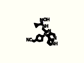 N#CCC1CCC(n2c(CN/C(=N\O)C3CC3)nc3cnc4[nH]ccc4c32)CC1